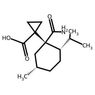 CC(C)[C@@H]1CC[C@H](C)C[C@@]1(C(N)=O)C1(C(=O)O)CC1